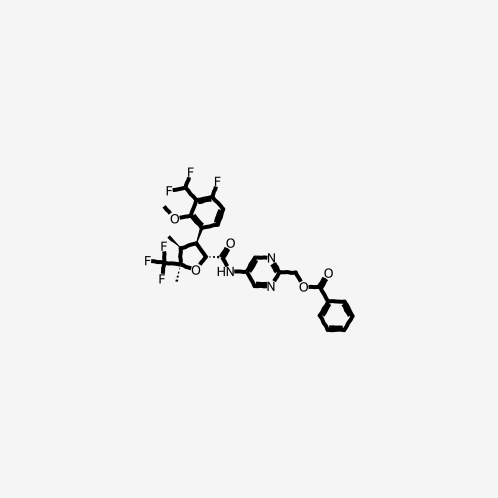 COc1c([C@H]2[C@H](C(=O)Nc3cnc(COC(=O)c4ccccc4)nc3)O[C@@](C)(C(F)(F)F)[C@H]2C)ccc(F)c1C(F)F